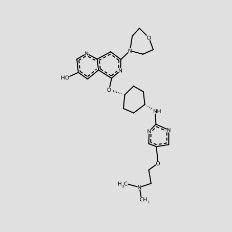 CN(C)CCOc1cnc(N[C@H]2CC[C@@H](Oc3nc(N4CCOCC4)cc4ncc(O)cc34)CC2)nc1